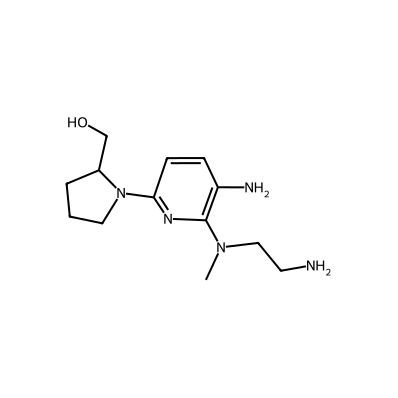 CN(CCN)c1nc(N2CCCC2CO)ccc1N